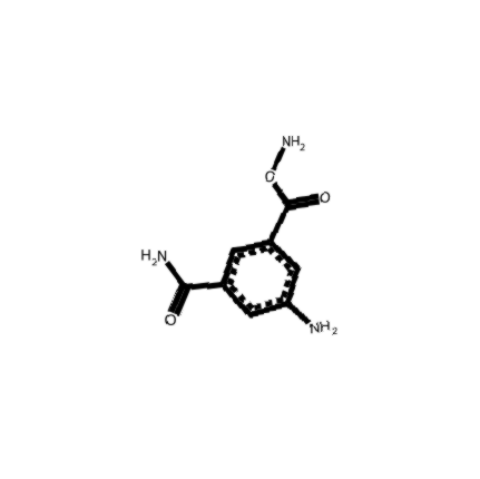 NOC(=O)c1cc(N)cc(C(N)=O)c1